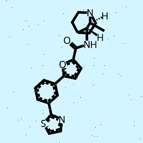 C[C@H]1[C@H](NC(=O)c2ccc(-c3cccc(-c4nccs4)c3)o2)C2CCN1CC2